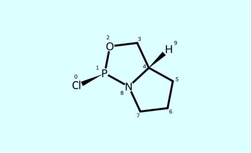 Cl[P@@]1OC[C@@H]2CCCN21